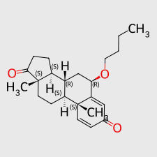 CCCCO[C@@H]1C[C@@H]2[C@H](CC[C@]3(C)C(=O)CC[C@@H]23)[C@@]2(C)C=CC(=O)C=C12